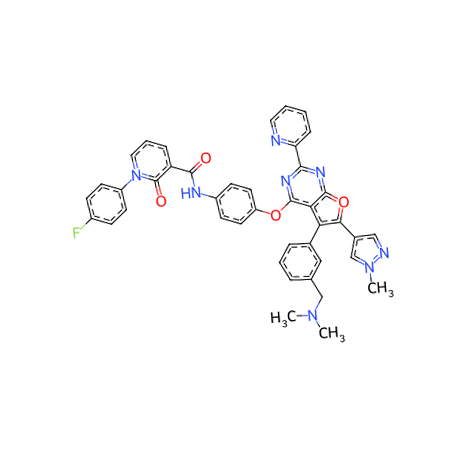 CN(C)Cc1cccc(-c2c(-c3cnn(C)c3)oc3nc(-c4ccccn4)nc(Oc4ccc(NC(=O)c5cccn(-c6ccc(F)cc6)c5=O)cc4)c23)c1